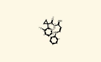 N=C(/C=C\Nc1ccccc1)NC(=O)C1(c2ncccc2F)CC1